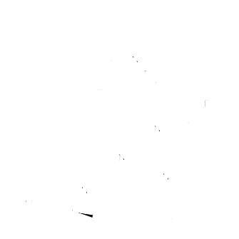 O=C(CN1c2nc(N3CC4C[C@H]3CO4)cc(=O)n2CC[C@H]1C(F)(F)F)N1C2CC[C@H]1COC2